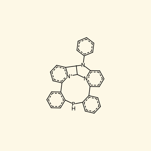 CC1[n+]2c3cccc2N(c2ccccc2)c2cccc([n+]21)-c1ccccc1Pc1ccccc1-3